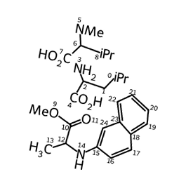 CC(C)CC(N)C(=O)O.CNC(C(=O)O)C(C)C.COC(=O)C(C)Nc1ccc2ccccc2c1